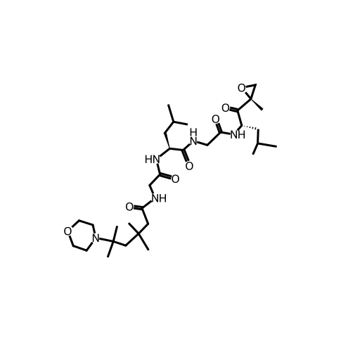 CC(C)C[C@H](NC(=O)CNC(=O)CC(C)(C)CC(C)(C)N1CCOCC1)C(=O)NCC(=O)N[C@@H](CC(C)C)C(=O)[C@@]1(C)CO1